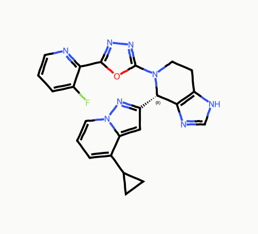 Fc1cccnc1-c1nnc(N2CCc3[nH]cnc3[C@@H]2c2cc3c(C4CC4)cccn3n2)o1